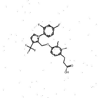 Cc1c(CCC(=O)O)ccc(OCc2c(C(F)(F)F)ccn2-c2ccc(F)cc2F)c1C